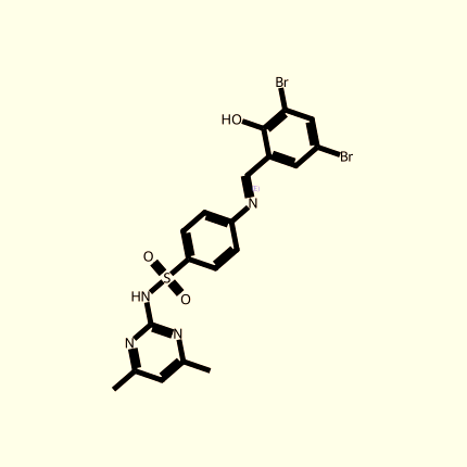 Cc1cc(C)nc(NS(=O)(=O)c2ccc(/N=C/c3cc(Br)cc(Br)c3O)cc2)n1